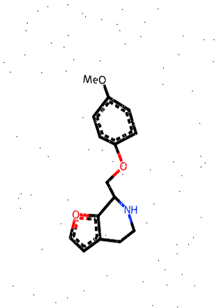 COc1ccc(OCC2NCCc3ccoc32)cc1